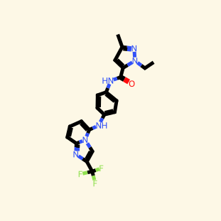 CCn1nc(C)cc1C(=O)Nc1ccc(Nc2cccc3nc(C(F)(F)F)cn23)cc1